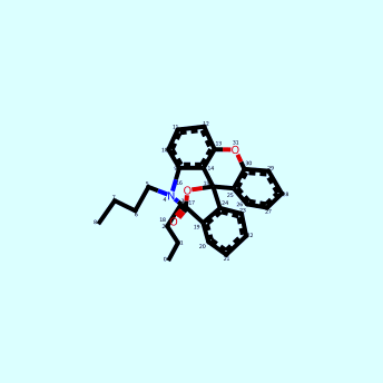 CCCCN(CCCC)c1cccc2c1C1(OC(=O)c3ccccc31)c1ccccc1O2